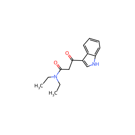 CCN(CC)C(=O)CC(=O)c1c[nH]c2ccccc12